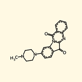 CN1CCN(c2ccc3c(c2)-n2c(nc4ccccc4c2=O)C3=O)CC1